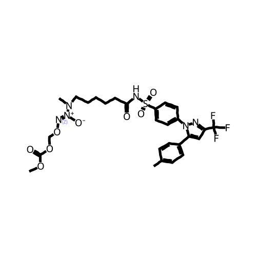 COC(=O)OCO/N=[N+](\[O-])N(C)CCCCCC(=O)NS(=O)(=O)c1ccc(-n2nc(C(F)(F)F)cc2-c2ccc(C)cc2)cc1